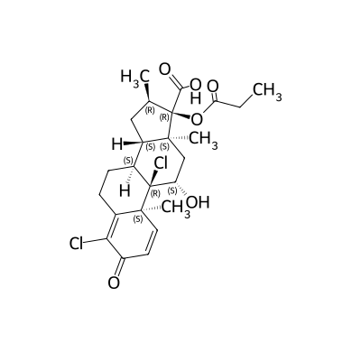 CCC(=O)O[C@]1(C(=O)O)[C@H](C)C[C@H]2[C@@H]3CCC4=C(Cl)C(=O)C=C[C@]4(C)[C@@]3(Cl)[C@@H](O)C[C@@]21C